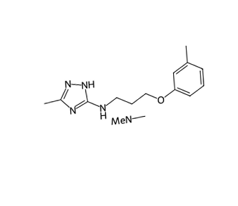 CNC.Cc1cccc(OCCCNc2nc(C)n[nH]2)c1